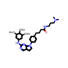 COc1cc(Nc2ncc3ccn(-c4ccc(CCCC(=O)NCCCN(C)C)cc4)c3n2)cc(OC)c1OC